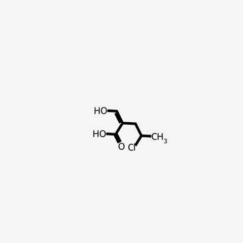 CC(Cl)CC(=CO)C(=O)O